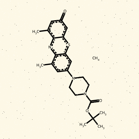 C.Cc1cc(=O)cc2sc3cc(N4CCN(C(=O)OC(C)(C)C)CC4)cc(C)c3nc1-2